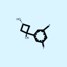 N#C[C@]1(c2cc(F)cc(F)c2)C[C@@H](O)C1